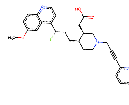 COc1ccc2nccc([C@@H](F)CC[C@@H]3CCN(CC#Cc4cccnn4)C[C@@H]3CC(=O)O)c2c1